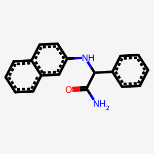 NC(=O)C(Nc1ccc2ccccc2c1)c1ccccc1